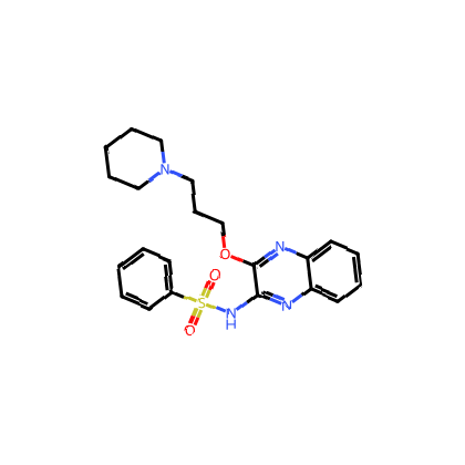 O=S(=O)(Nc1nc2ccccc2nc1OCCCN1CCCCC1)c1ccccc1